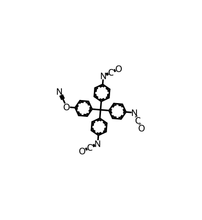 N#COc1ccc(C(c2ccc(N=C=O)cc2)(c2ccc(N=C=O)cc2)c2ccc(N=C=O)cc2)cc1